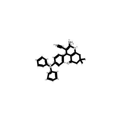 CC1(C)CC(=O)C2=C(C1)OC(N)=C(C#N)C2c1ccc(N(c2ccccc2)c2ccccc2)cc1